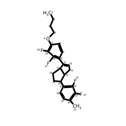 CCCCOc1ccc(C2=CCC3C2CCC3c2ccc(C)c(F)c2F)c(F)c1F